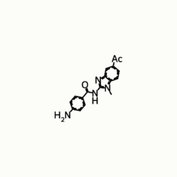 CC(=O)c1ccc2c(c1)nc(NC(=O)c1ccc(N)cc1)n2C